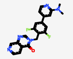 CN(C)c1cc(-c2cc(F)c(Cn3cnc4cnccc4c3=O)c(F)c2)ccn1